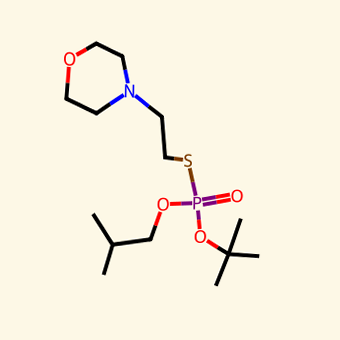 CC(C)COP(=O)(OC(C)(C)C)SCCN1CCOCC1